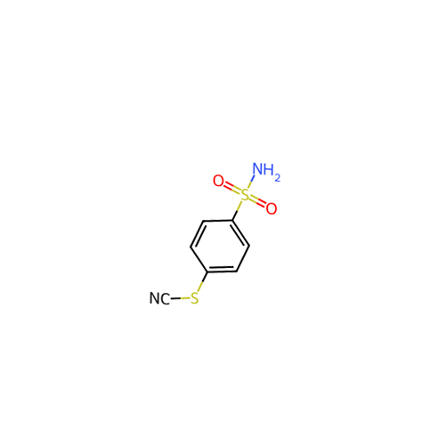 N#CSc1ccc(S(N)(=O)=O)cc1